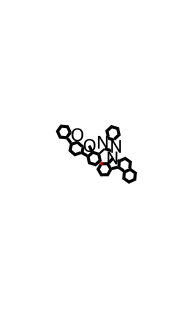 c1ccc2c(c1)ccc1c2c2ccccc2n1-c1nc2ccccc2nc1-c1cccc2c1oc1c2ccc2c3ccccc3oc21